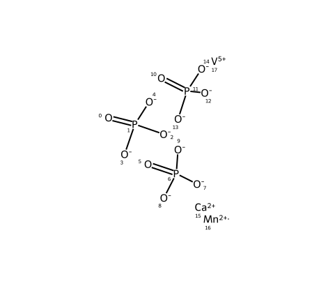 O=P([O-])([O-])[O-].O=P([O-])([O-])[O-].O=P([O-])([O-])[O-].[Ca+2].[Mn+2].[V+5]